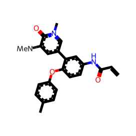 C=CC(=O)Nc1ccc(Oc2ccc(C)cc2)c(-c2cc(NC)c(=O)n(C)c2)c1